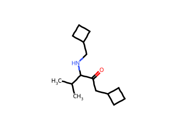 CC(C)C(NCC1CCC1)C(=O)CC1CCC1